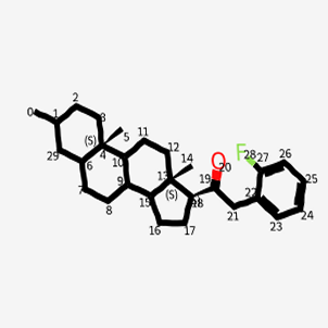 CC1CC[C@@]2(C)C(CCC3C2CC[C@@]2(C)C3CC[C@@H]2C(=O)Cc2ccccc2F)C1